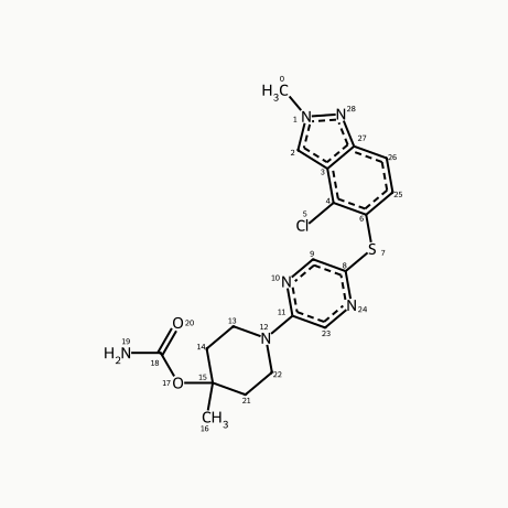 Cn1cc2c(Cl)c(Sc3cnc(N4CCC(C)(OC(N)=O)CC4)cn3)ccc2n1